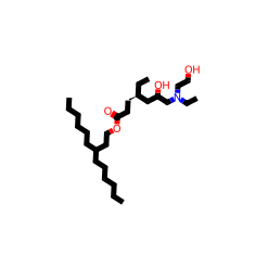 CCCCCCC(CCCCCC)CCOC(=O)CC[C@H](CC)CC(O)CN(CC)CCO